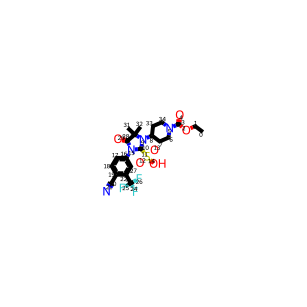 CCOC(=O)N1CCC(N2C(S(=O)(=O)O)N(c3ccc(C#N)c(C(F)(F)F)c3)C(=O)C2(C)C)CC1